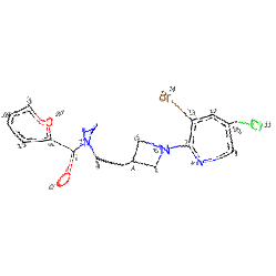 O=C(NCC1CN(c2ncc(Cl)cc2Br)C1)c1ccco1